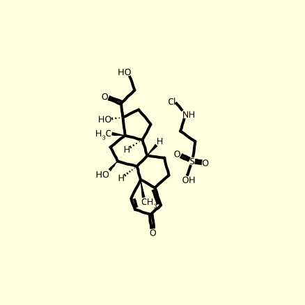 C[C@]12C=CC(=O)C=C1CC[C@@H]1[C@@H]2[C@@H](O)C[C@@]2(C)[C@H]1CC[C@]2(O)C(=O)CO.O=S(=O)(O)CCNCl